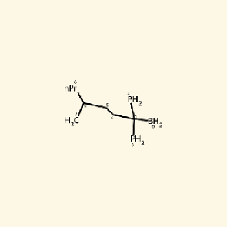 BC(P)(P)CCC(C)CCC